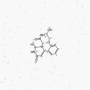 NC(=O)CN1C(c2ccccc2OCCO)=CC(=O)NC1S